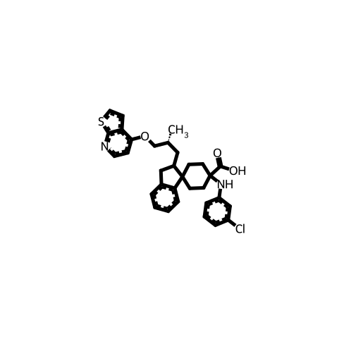 C[C@@H](COc1ccnc2sccc12)CC1Cc2ccccc2C12CCC(Nc1cccc(Cl)c1)(C(=O)O)CC2